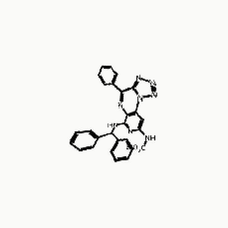 CCOC(=O)Nc1cc2c(nc(-c3ccccc3)c3nnnn32)c(NC(c2ccccc2)c2ccccc2)n1